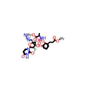 CC(C)OC(=O)CCc1ccccc1OP(=O)(NC(C)C(=O)OC(C)C)OC1[C@@]2(CN=[N+]=[N-])O[C@@H](n3ccc(=O)[nH]c3=O)[C@H](F)[C@@]12O